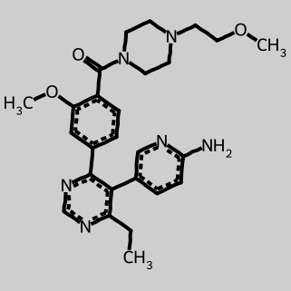 CCc1ncnc(-c2ccc(C(=O)N3CCN(CCOC)CC3)c(OC)c2)c1-c1ccc(N)nc1